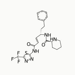 O=C(C=C[C@H](CCc1ccccc1)NC(=O)[C@@H]1CCCCN1)Nc1nnc(C(F)(F)F)s1